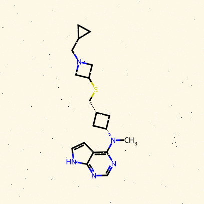 CN(c1ncnc2[nH]ccc12)[C@H]1C[C@@H](CSC2CN(CC3CC3)C2)C1